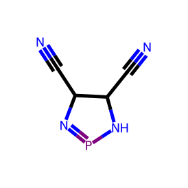 N#CC1N=PNC1C#N